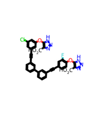 O=C(O)c1nn[nH]c1Oc1cc(Cl)cc(C#Cc2cccc(-c3cccc(C#Cc4ccc(Oc5[nH]nnc5C(=O)O)c(F)c4)c3)c2)c1